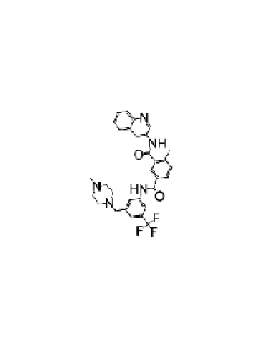 Cc1ccc(C(=O)Nc2cc(CN3CCN(C)CC3)cc(C(F)(F)F)c2)cc1C(=O)Nc1cnc2ccccc2c1